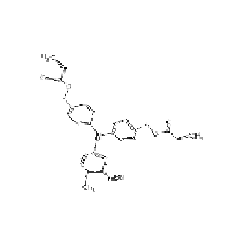 C=CC(=O)OCc1ccc(N(c2ccc(COC(=O)C=C)cc2)c2ccc(C)c(CCCC)c2)cc1